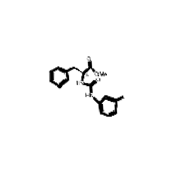 COC(=O)[C@H](Cc1ccccc1)NC(=O)Nc1cccc(C)c1